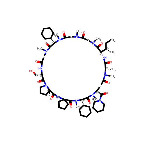 CC[C@H](C)[C@@H]1NC(=O)[C@H](C)N(C)C(=O)C[C@@H](C(=O)N2CCCCC2)N(C)C(=O)[C@H](C2CCCCC2)N(C)C(=O)C2(CCCC2)NC(=O)[C@@H]2CCCN2C(=O)[C@H](CO)NC(=O)CN(C)C(=O)[C@H](C2CCCCC2)N(C)C(=O)CN(C)C(=O)CN(C)C1=O